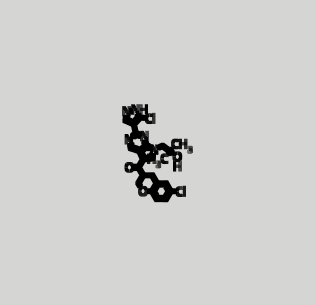 CC(C)(O)Cn1cc(C(=O)C2COc3ccc(Cl)cc3C2)c2cnc(-c3cn[nH]c3Cl)nc21